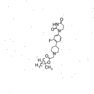 CC(C)(C)OC(=O)CN1CCC(c2ccc(N3CCC(=O)NC3=O)cc2F)CC1